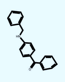 O=C(c1ccccc1)c1ccc(NCc2ccccc2)cc1